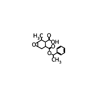 CC(OC(=O)C1CC2OC2C(C)C1C(=O)O)c1ccccc1